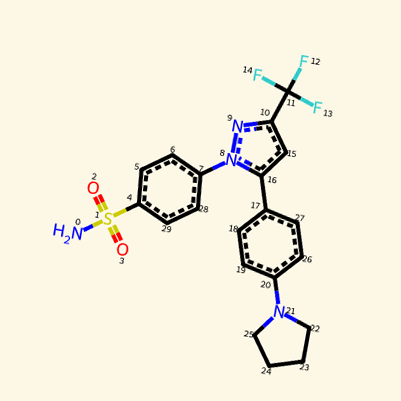 NS(=O)(=O)c1ccc(-n2nc(C(F)(F)F)cc2-c2ccc(N3CCCC3)cc2)cc1